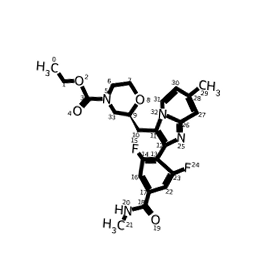 CCOC(=O)N1CCO[C@@H](Cc2c(-c3c(F)cc(C(=O)NC)cc3F)nc3cc(C)ccn23)C1